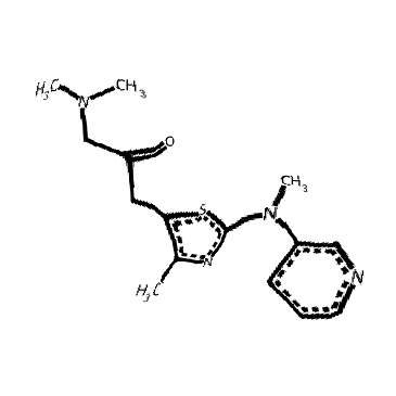 Cc1nc(N(C)c2cccnc2)sc1CC(=O)CN(C)C